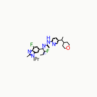 C=C(/N=C(\C(F)=C/C)c1cc(F)c2nc(C)n(C(C)C)c2c1)Nc1ccc(C(C)C2CCOCC2)cn1